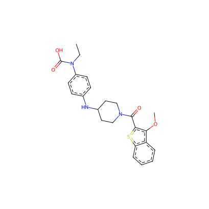 CCN(C(=O)O)c1ccc(NC2CCN(C(=O)c3sc4ccccc4c3OC)CC2)cc1